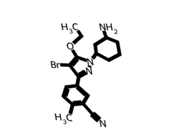 CCOc1c(Br)c(-c2ccc(C)c(C#N)c2)nn1C1CCCC(N)C1